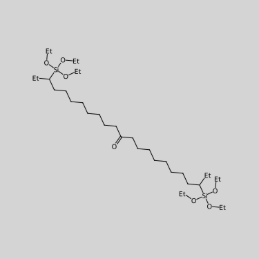 CCO[Si](OCC)(OCC)C(CC)CCCCCCCCC(=O)CCCCCCCCC(CC)[Si](OCC)(OCC)OCC